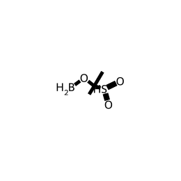 BOC(C)(C)[SH](=O)=O